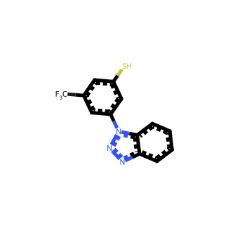 FC(F)(F)c1cc(S)cc(-n2nnc3ccccc32)c1